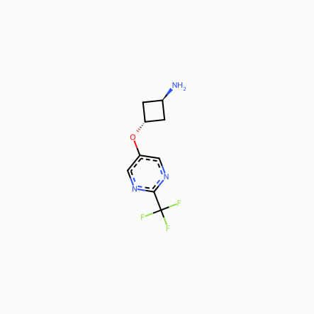 N[C@H]1C[C@H](Oc2cnc(C(F)(F)F)nc2)C1